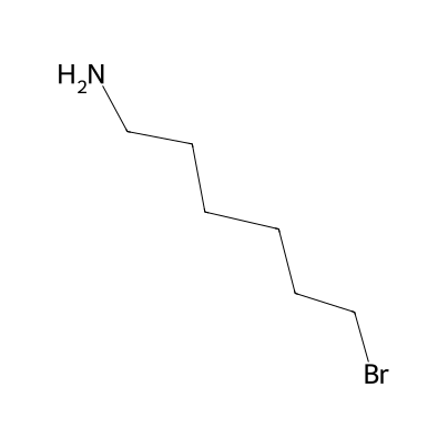 NCCCCCCBr